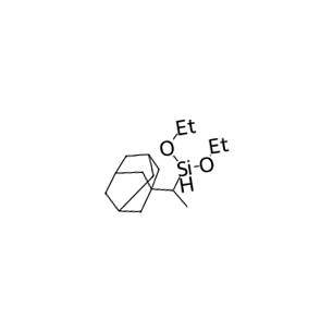 CCO[SiH](OCC)C(C)C12CC3CC(CC(C3)C1)C2